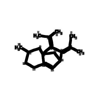 CC(C)=C1C(=C(C)C)C23CC(C)CCC2=CC1C3